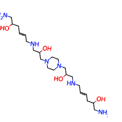 NCC(O)CC=CCNCC(O)CN1CCN(CC(O)CNCC=CCC(O)CN)CC1